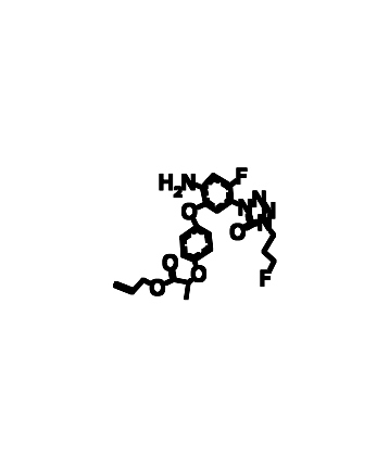 C=CCOC(=O)C(C)Oc1ccc(Oc2cc(-n3nnn(CCCF)c3=O)c(F)cc2N)cc1